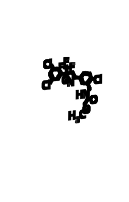 COCC(=O)NCc1cc(C2=NOC(c3cc(Cl)cc(Cl)c3)(C(F)(F)F)C2)ccc1Cl